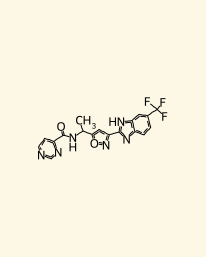 CC(NC(=O)c1ccncn1)c1cc(-c2nc3ccc(C(F)(F)F)cc3[nH]2)no1